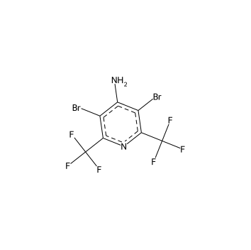 Nc1c(Br)c(C(F)(F)F)nc(C(F)(F)F)c1Br